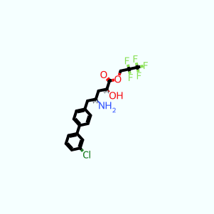 N[C@H](Cc1ccc(-c2cccc(Cl)c2)cc1)C[C@@H](O)C(=O)OCC(F)(F)C(F)(F)F